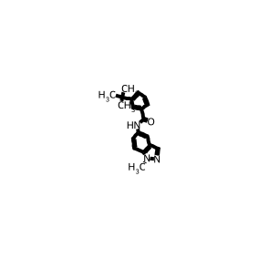 Cn1ncc2cc(NC(=O)c3cccc(C(C)(C)C)c3)ccc21